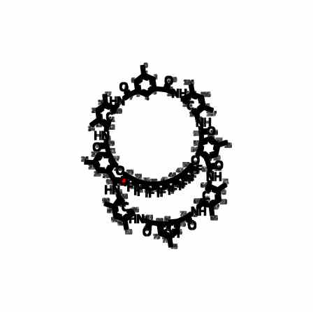 Cc1cc2cc(c1)C(=O)Nc1cc(c(C)cc1C)NC(=O)c1cc(C)cc3c1OC(F)(F)C(F)(F)C(F)(F)C(F)(F)C(F)(F)C(F)(F)C(F)(F)C(F)(F)Oc1c(cc(C)cc1C(=O)Nc1cc(c(C)cc1C)NC(=O)c1cc(C)cc(c1O)C(=O)Nc1cc(c(C)cc1C)NC3=O)C(=O)Nc1cc(c(C)cc1C)NC2=O